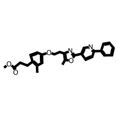 COC(=O)CCc1ccc(OCCc2nc(-c3ccc(-c4ccccc4)nc3)oc2C)cc1C